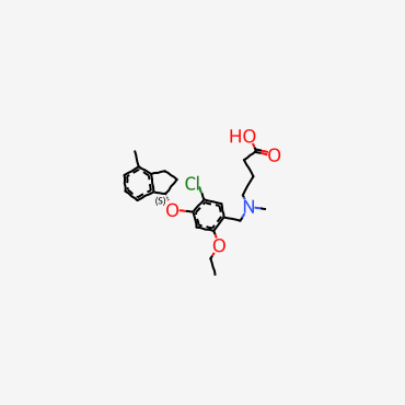 CCOc1cc(O[C@H]2CCc3c(C)cccc32)c(Cl)cc1CN(C)CCCC(=O)O